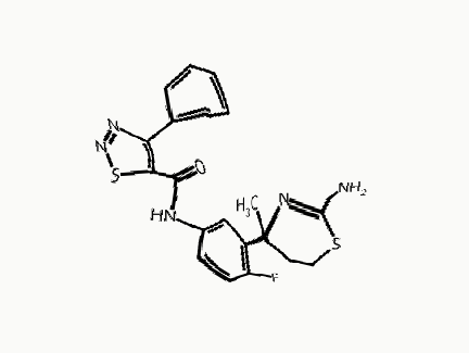 CC1(c2cc(NC(=O)c3snnc3-c3ccccc3)ccc2F)CCSC(N)=N1